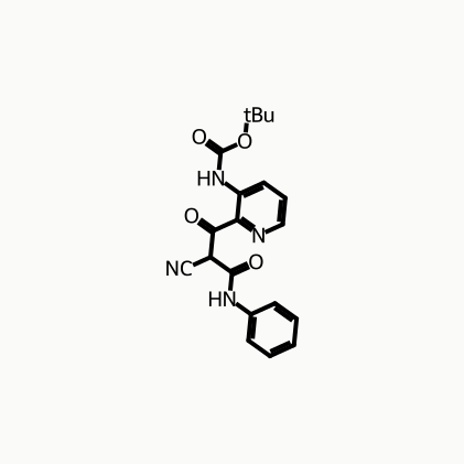 CC(C)(C)OC(=O)Nc1cccnc1C(=O)C(C#N)C(=O)Nc1ccccc1